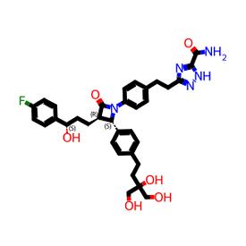 NC(=O)c1nc(CCc2ccc(N3C(=O)[C@H](CC[C@H](O)c4ccc(F)cc4)[C@H]3c3ccc(CCC(O)(CO)CO)cc3)cc2)n[nH]1